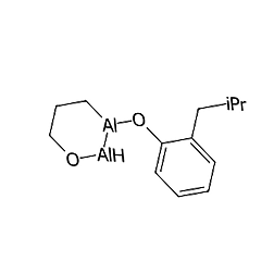 CC(C)Cc1ccccc1[O][Al]1[CH2]CC[O][AlH]1